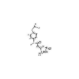 CC(C)Cc1ccc(C(C)C(=O)OC2CC(=O)NC2=O)cc1